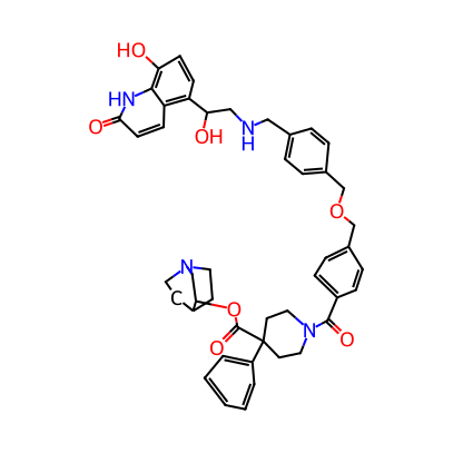 O=C(c1ccc(COCc2ccc(CNCC(O)c3ccc(O)c4[nH]c(=O)ccc34)cc2)cc1)N1CCC(C(=O)OC2CN3CCC2CC3)(c2ccccc2)CC1